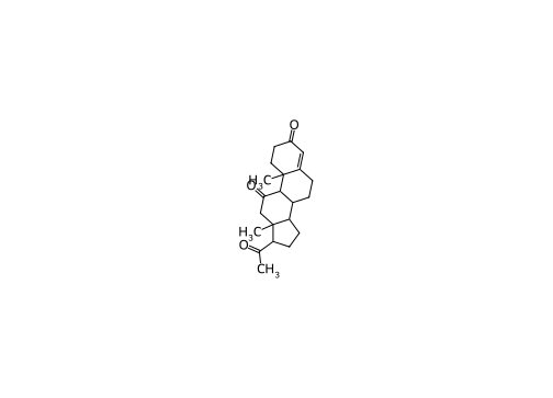 CC(=O)C1CCC2C3CCC4=CC(=O)CCC4(C)C3C(=O)CC12C